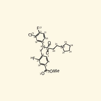 COC(=O)c1ccc(CN(c2ccc(F)c(Cl)c2)S(=O)(=O)CCN2CCCC2)c(F)c1